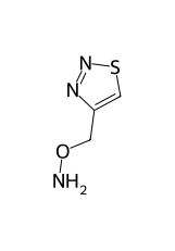 NOCc1csnn1